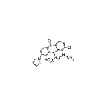 CN(C)c1c(Cl)ccc2c(=O)c3ccc(-n4cccc4)cc3n(CC(=O)O)c12